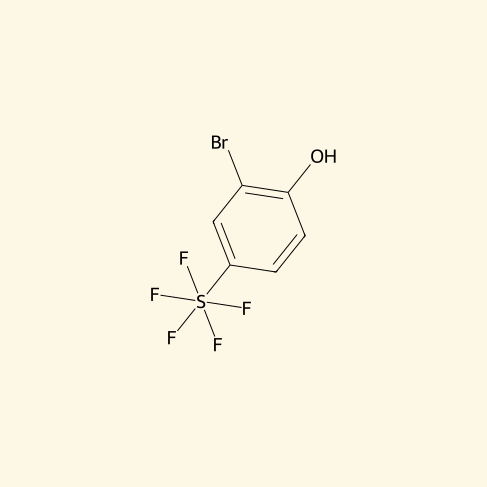 Oc1ccc(S(F)(F)(F)(F)F)cc1Br